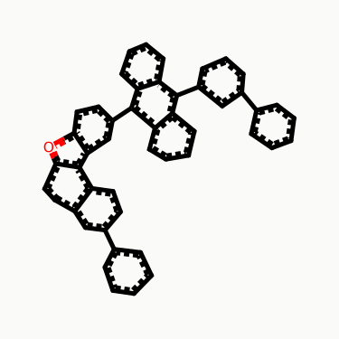 c1ccc(-c2cccc(-c3c4ccccc4c(-c4ccc5oc6ccc7cc(-c8ccccc8)ccc7c6c5c4)c4ccccc34)c2)cc1